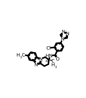 Cc1ccc2c(c1)nc1n2C[C@](C)(NC(=O)c2ccc(-n3cnnc3)cc2Cl)CC1